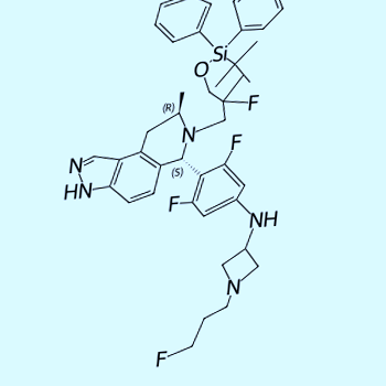 C[C@@H]1Cc2c(ccc3[nH]ncc23)[C@@H](c2c(F)cc(NC3CN(CCCF)C3)cc2F)N1CC(C)(F)CO[Si](c1ccccc1)(c1ccccc1)C(C)(C)C